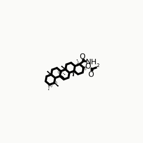 CC(=O)O[C@@H]1CC[C@@]2(C)C(CC[C@]3(C)C2CC=C2C4[C@@H](C)[C@H](C)CC[C@]4(C)CC[C@]23C)[C@@]1(C)C(N)=O